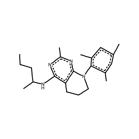 CCCC(C)Nc1nc(C)nc2c1CCCN2c1c(C)cc(C)cc1C